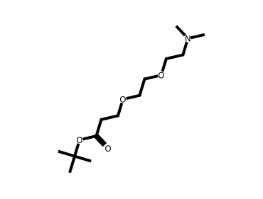 CN(C)CCOCCOCCC(=O)OC(C)(C)C